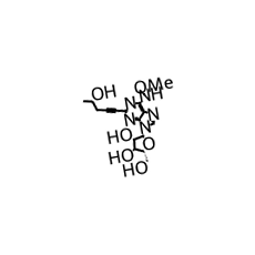 CONc1nc(C#CCC(C)O)nc2c1ncn2[C@@H]1O[C@H](CO)[C@@H](O)[C@H]1O